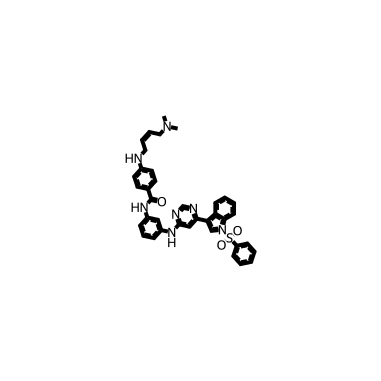 CN(C)C/C=C\CNc1ccc(C(=O)Nc2cccc(Nc3cc(-c4cn(S(=O)(=O)c5ccccc5)c5ccccc45)ncn3)c2)cc1